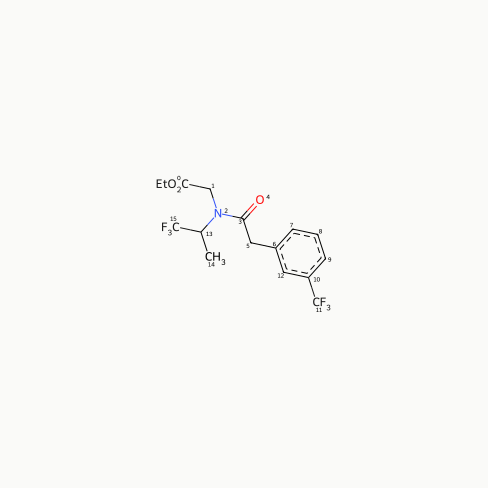 CCOC(=O)CN(C(=O)Cc1cccc(C(F)(F)F)c1)C(C)C(F)(F)F